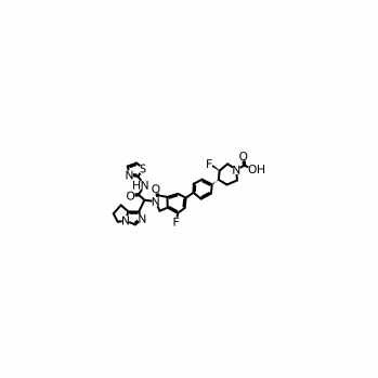 O=C(Nc1nccs1)C(c1ncn2c1CCC2)N1Cc2c(F)cc(-c3ccc([C@H]4CCN(C(=O)O)C[C@@H]4F)cc3)cc2C1=O